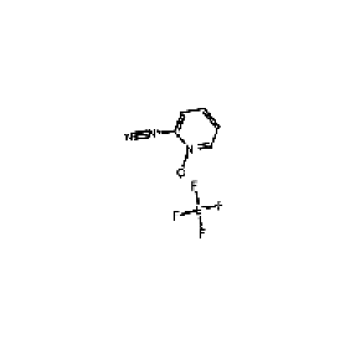 F[B-](F)(F)F.N#[N+]c1cccc[n+]1[O-]